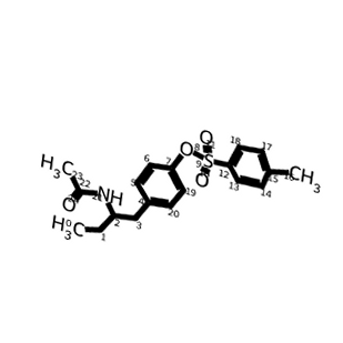 CCC(Cc1ccc(OS(=O)(=O)c2ccc(C)cc2)cc1)NC(C)=O